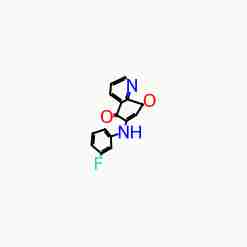 O=C1C(Nc2cccc(F)c2)=CC(=O)c2ncccc21